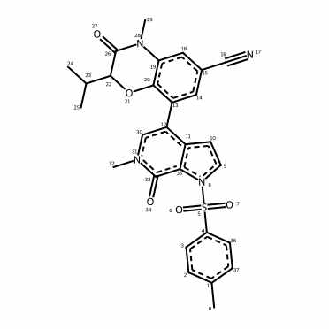 Cc1ccc(S(=O)(=O)n2ccc3c(-c4cc(C#N)cc5c4OC(C(C)C)C(=O)N5C)cn(C)c(=O)c32)cc1